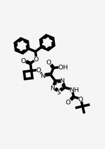 CC(C)(C)OC(=O)Nc1nc(/C(=N/OC2(C(=O)OC(c3ccccc3)c3ccccc3)CCC2)C(=O)O)ns1